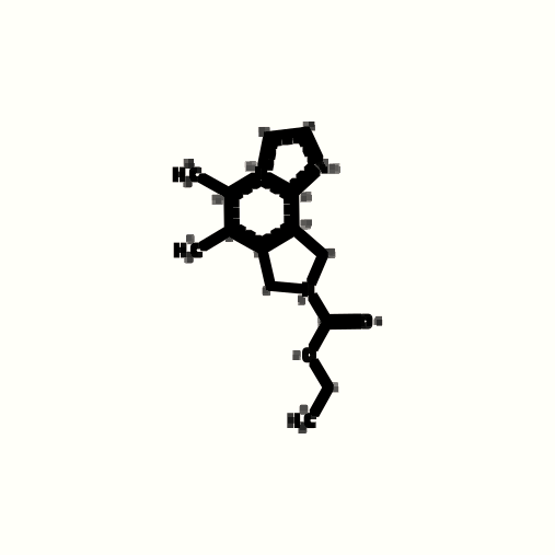 CCOC(=O)N1Cc2c(C)c(C)n3ccnc3c2C1